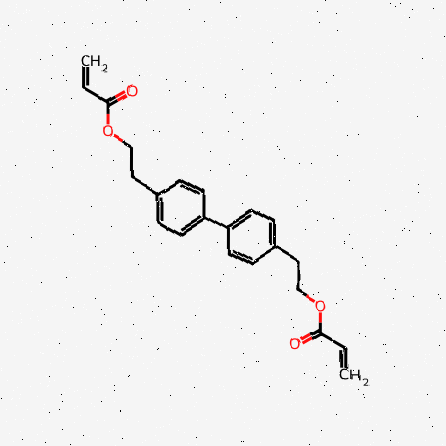 C=CC(=O)OCCc1ccc(-c2ccc(CCOC(=O)C=C)cc2)cc1